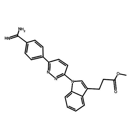 COC(=O)CCc1cn(-c2ccc(-c3ccc(C(=N)N)cc3)nn2)c2ccccc12